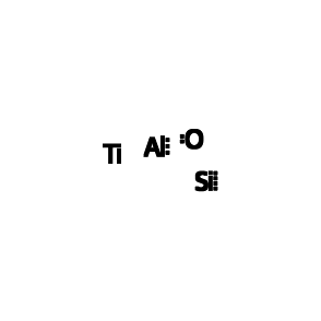 [Al].[O].[Si].[Ti]